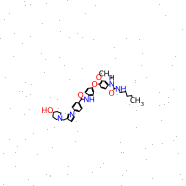 CCCCCNC(=O)Nc1ccc(Oc2ccc(NC(=O)c3ccc(-n4ccc(CN5CCC(O)CC5)c4)cc3)cc2)c(OC)c1